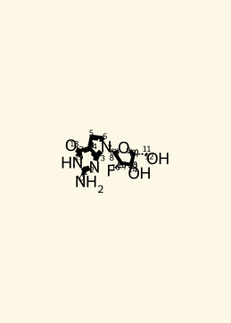 Nc1nc2c(ccn2[C@@H]2O[C@H](CO)[C@@H](O)[C@@H]2F)c(=O)[nH]1